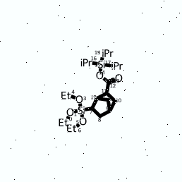 CCO[Si](OCC)(OCC)C1CC2CC(C(=O)O[Si](C(C)C)(C(C)C)C(C)C)C1C2